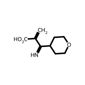 C=C(C(=N)C1CCOCC1)C(=O)O